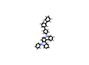 c1ccc(-n2c3ccccc3c3c4c5ccccc5n(-c5ccc(-c6ccc7sc8ccccc8c7c6)cc5)c4ccc32)cc1